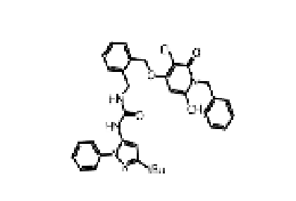 Cc1cc(OCc2ccccc2CNC(=O)Nc2cc(C(C)(C)C)nn2-c2ccccc2)c(Cl)c(=O)n1Cc1ccccc1